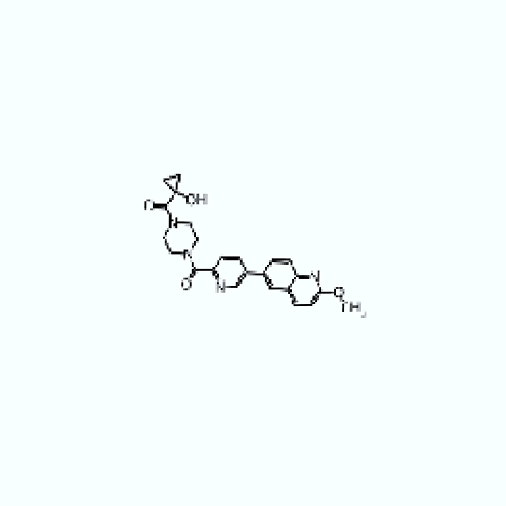 COc1ccc2cc(-c3ccc(C(=O)N4CCN(C(=O)C5(O)CC5)CC4)nc3)ccc2n1